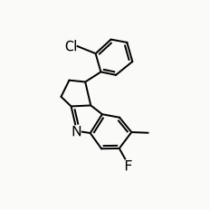 Cc1cc2c(cc1F)N=C1CCC(c3ccccc3Cl)C12